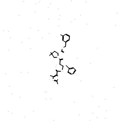 Cc1nc(C)c(C(=O)N[C@@H](Cc2ccccc2)[C@H](O)C(=O)N2CC(F)(F)C[C@H]2C(=O)NCc2cccc(F)c2)s1